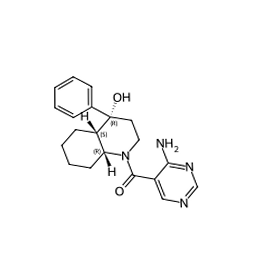 Nc1ncncc1C(=O)N1CC[C@](O)(c2ccccc2)[C@H]2CCCC[C@H]21